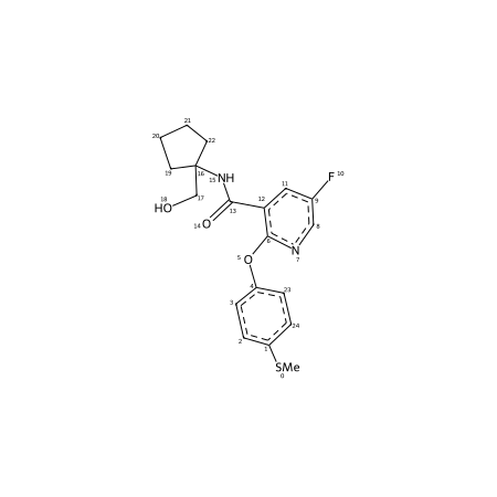 CSc1ccc(Oc2ncc(F)cc2C(=O)NC2(CO)CCCC2)cc1